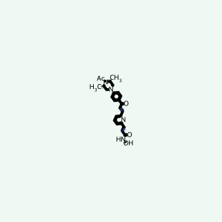 CC(=O)N1[C@H](C)CN(c2ccc(C(=O)/C=C/c3cccc(/C=C/C(=O)NO)n3)cc2)C[C@@H]1C